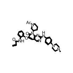 C=CC(=O)Nc1ccccc1Oc1cc2cnc(Nc3ccc(N4CCN(C)CC4)cc3)nc2n(C2CCCN(C(C)=O)C2)c1=O